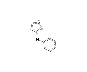 c1ccc(N=c2ccss2)cc1